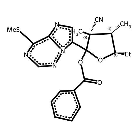 CC[C@H]1OC(OC(=O)c2ccccc2)(c2cnc3c(SC)ncnn23)[C@](C)(C#N)[C@@H]1C